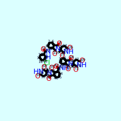 CC1(N2C(=O)c3cccc(NC(=O)c4cccc(Cl)c4)c3C2=O)CCC(=O)NC1=O.CC1(N2C(=O)c3cccc(NC(=O)c4cccc5c4C(=O)N(C4(C)CCC(=O)NC4=O)C5=O)c3C2=O)CCC(=O)NC1=O